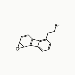 BrCCc1cccc2c1C1=C2C2OC2C=C1